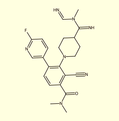 CN(C)C(=O)c1ccc(-c2ccc(F)nc2)c(N2CCC(C(=N)N(C)C=N)CC2)c1C#N